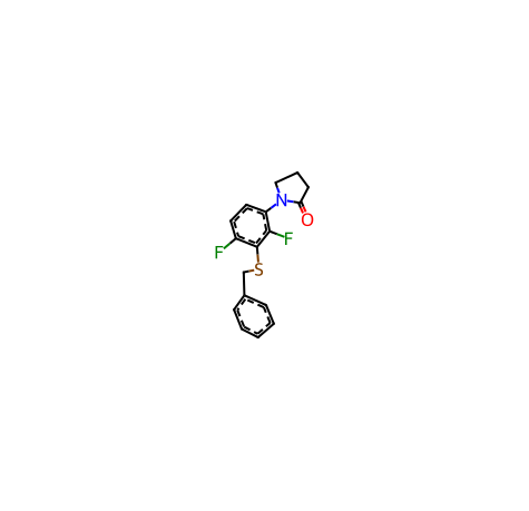 O=C1CCCN1c1ccc(F)c(SCc2ccccc2)c1F